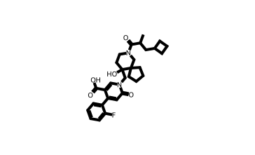 CC(CC1CCC1)C(=O)N1CCC(O)(Cn2cc(C(=O)O)c(-c3ccccc3F)cc2=O)C2(CCCC2)C1